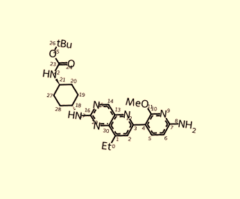 CCc1cc(-c2ccc(N)nc2OC)nc2cnc(N[C@H]3CC[C@H](NC(=O)OC(C)(C)C)CC3)nc12